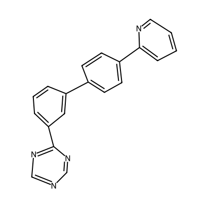 c1ccc(-c2ccc(-c3cccc(-c4ncncn4)c3)cc2)nc1